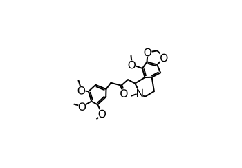 COc1cc(CC(=O)CC2c3c(cc4c(c3OC)OCO4)CCN2C)cc(OC)c1OC